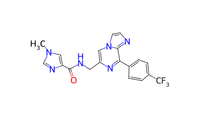 Cn1cnc(C(=O)NCc2cn3ccnc3c(-c3ccc(C(F)(F)F)cc3)n2)c1